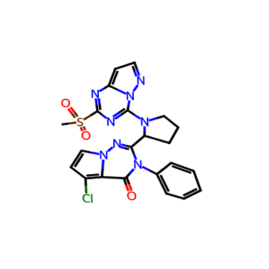 CS(=O)(=O)c1nc(N2CCCC2c2nn3ccc(Cl)c3c(=O)n2-c2ccccc2)n2nccc2n1